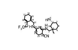 CCC[C@@H]1CCCC(C)(CNC2=NC(NCC3=CCCC=C3OC(F)(F)F)=NCC2C#N)C1